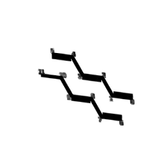 C=CC=CC=C.C=CC=CCC